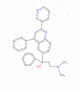 CN(C)CCC(O)(c1ccccc1)c1ccc2nc(-c3cccnc3)cc(-c3ccccc3)c2c1